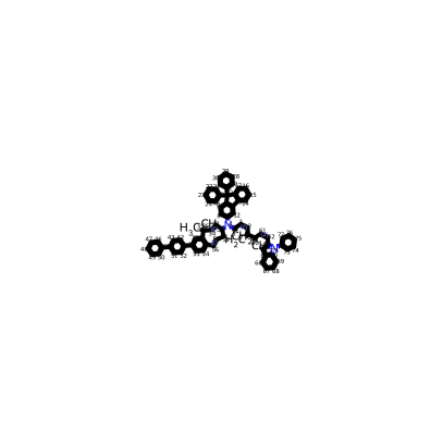 C=C(/C=C\C(=C)N(c1ccc2c(c1)-c1ccccc1C2(c1ccccc1)c1ccccc1)C1/C=C/C(C)(C)c2cc(-c3ccc(-c4ccccc4)cc3)ccc2/C=C/C1)C(=C)/C=C\c1cc2ccccc2n1-c1ccccc1